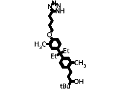 CCC(CC)(c1ccc(CCC(O)C(C)(C)C)c(C)c1)c1ccc(OCCCCc2nnn[nH]2)c(C)c1